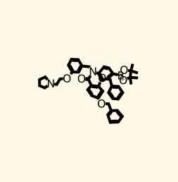 CC1(C)OB(c2ccc(N(Cc3cccc(OCCN4CCCC4)c3)C(=O)c3ccc(OCc4ccccc4)cc3OCc3ccccc3)cc2)OC1(C)C